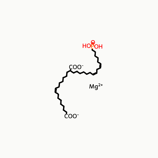 O=C([O-])CCCCCCC/C=C\CCCCCCC(CCCCCC/C=C\C/C=C\CCCCCP(=O)(O)O)C(=O)[O-].[Mg+2]